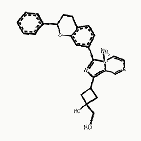 N[N+]12C=CN=CC1=C(C1CC(O)(CO)C1)N=C2c1ccc2c(c1)OC(c1ccccc1)CC2